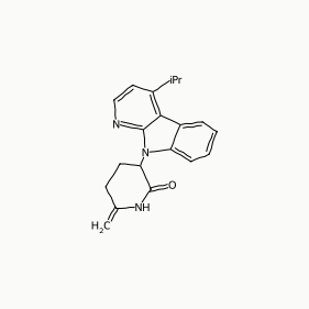 C=C1CCC(n2c3ccccc3c3c(C(C)C)ccnc32)C(=O)N1